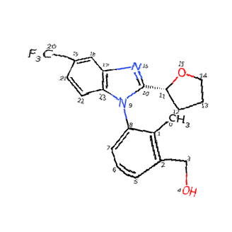 Cc1c(CO)cccc1-n1c([C@H]2CCCO2)nc2cc(C(F)(F)F)ccc21